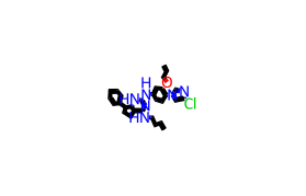 C=CCCNC1=C2CCC(c3ccccc3)C2NC(Nc2ccc(-n3cnc(Cl)c3)c(OCC=C)c2)=N1